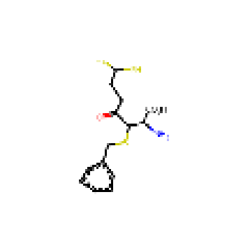 N[C@H](C(=O)O)C(SCc1ccccc1)C(=O)CCC(S)S